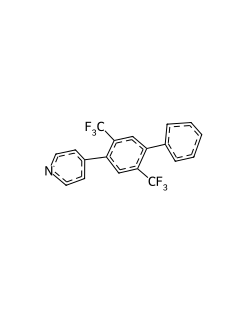 FC(F)(F)c1cc(-c2ccncc2)c(C(F)(F)F)cc1-c1ccccc1